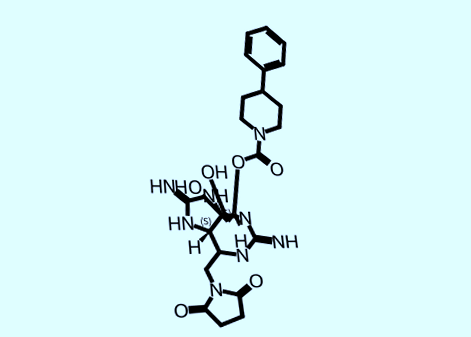 N=C1N[C@H]2C(CN3C(=O)CCC3=O)NC(=N)N3CC(OC(=O)N4CCC(c5ccccc5)CC4)C(O)(O)[C@]23N1